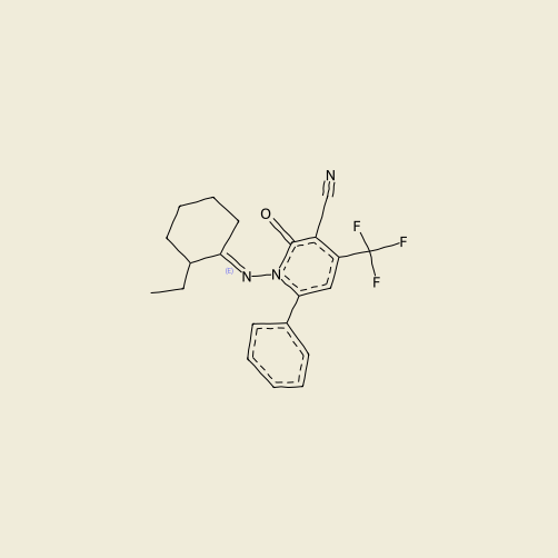 CCC1CCCC/C1=N\n1c(-c2ccccc2)cc(C(F)(F)F)c(C#N)c1=O